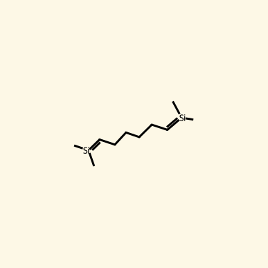 C[Si](C)=CCCCCC=[Si](C)C